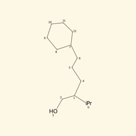 CC(C)C(CO)CCCC1CCCCC1